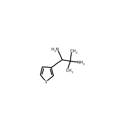 CC(C)(N)C(N)c1ccsc1